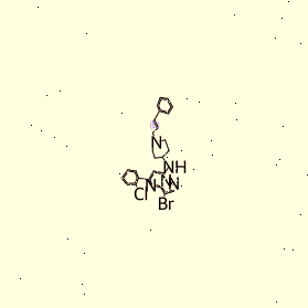 Clc1ccccc1-c1cc(NC2CCN(C/C=C/c3ccccc3)CC2)n2ncc(Br)c2n1